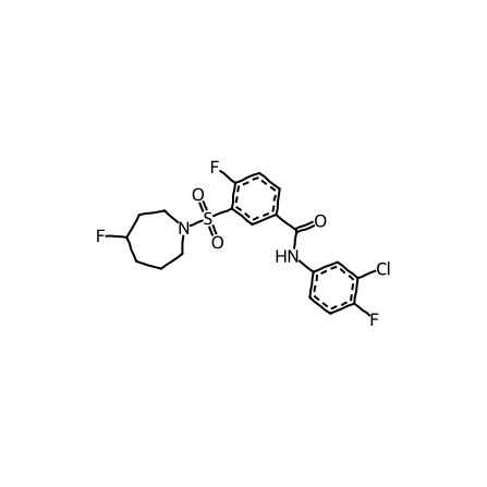 O=C(Nc1ccc(F)c(Cl)c1)c1ccc(F)c(S(=O)(=O)N2CCCC(F)CC2)c1